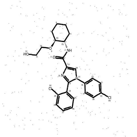 O=C(N[C@H]1CCCC[C@@H]1OCCO)c1cn(-c2ccc(Cl)cc2)c(-c2ccccc2Cl)n1